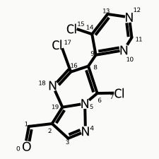 O=Cc1cnn2c(Cl)c(-c3ncncc3Cl)c(Cl)nc12